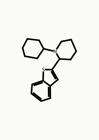 c1ccc2sc(C3CCCCN3C3CCCCC3)cc2c1